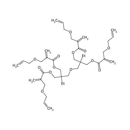 C=CCOCC(=C)C(=O)OCC(CC)(COCC(CC)(COC(=O)C(=C)COCC=C)COC(=O)C(=C)COCC=C)COC(=O)C(=C)COCC=C